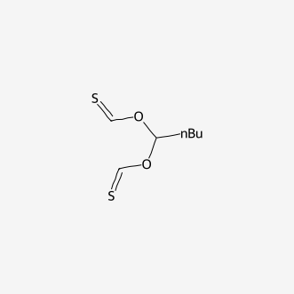 CCCCC(OC=S)OC=S